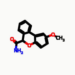 COc1ccc2c(c1)-c1ccccc1C(C(N)=O)O2